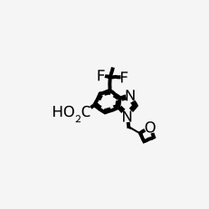 CC(F)(F)c1cc(C(=O)O)cc2c1ncn2C[C@@H]1CCO1